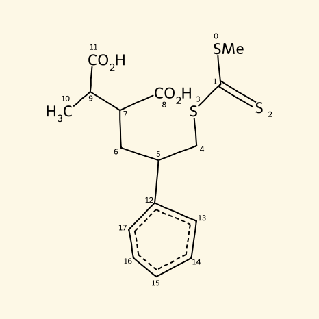 CSC(=S)SCC(CC(C(=O)O)C(C)C(=O)O)c1ccccc1